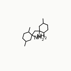 CC1CCC(C)C(N)(CC2(N)CC(C)CCC2C)C1